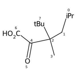 CC(C)CC(C)(C(=O)C(=O)O)C(C)(C)C